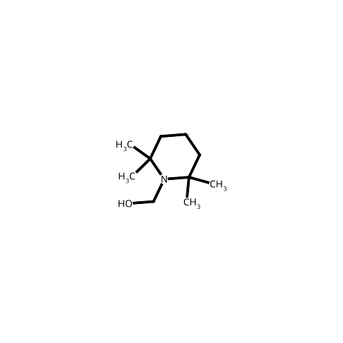 CC1(C)C[CH]CC(C)(C)N1CO